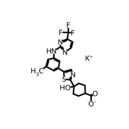 Cc1cc(Nc2nccc(C(F)(F)F)n2)cc(-c2cnc(C3(O)CCC(C(=O)[O-])CC3)s2)c1.[K+]